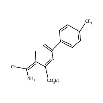 C=C(/N=C(C(=O)OCC)\C(C)=C(/N)Cl)c1ccc(C(F)(F)F)cc1